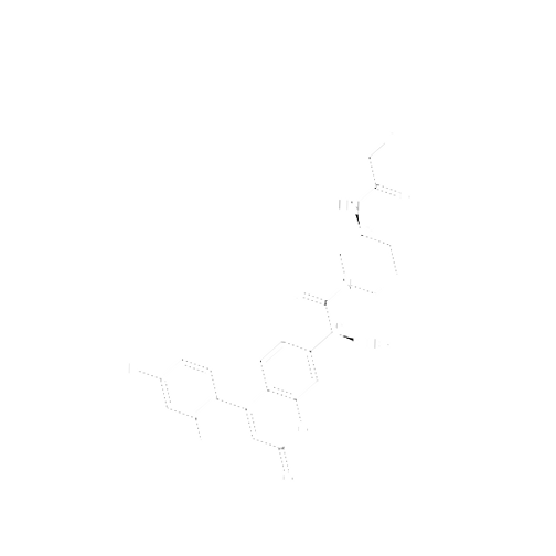 O=C[C@H](C(=O)N1CCC[C@H](NC(=O)CCl)C1)c1ccc2c(-c3ccc(F)cc3Cl)cc(=O)oc2c1